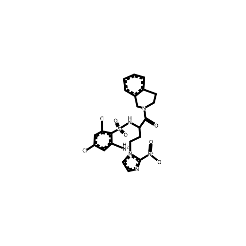 Nc1cc(Cl)cc(Cl)c1S(=O)(=O)NC(CCn1ccnc1[N+](=O)[O-])C(=O)N1CCc2ccccc2C1